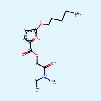 CCCCCCCCCCCCCCOc1ccc(C(=O)OCC(=O)N(C)CC(C)=O)o1